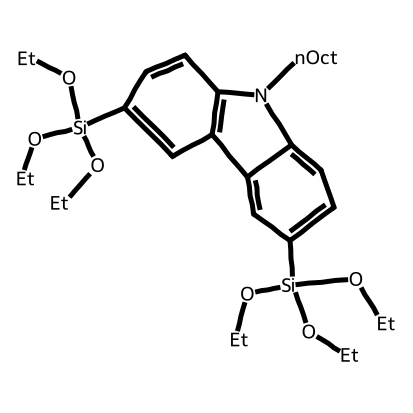 CCCCCCCCn1c2ccc([Si](OCC)(OCC)OCC)cc2c2cc([Si](OCC)(OCC)OCC)ccc21